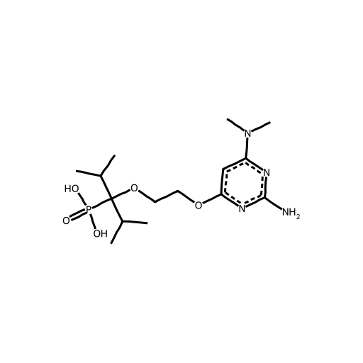 CC(C)C(OCCOc1cc(N(C)C)nc(N)n1)(C(C)C)P(=O)(O)O